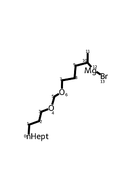 CCCCCCCCCCOCOCCC[CH](C)[Mg][Br]